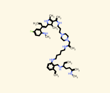 C=C/C(=C\C1NC(C)=C(C(=C)NCCCN2CCN(CC(=C)NCCCCCNc3cccc(C=C)c3CNC(C=C)CCC(=C)NC)CC2)C1C)C1=CC(F)=CCC1NC